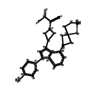 C=C(F)C(=O)N1CC(n2nc(-c3ccc(C(F)(F)F)nc3)c3nccc(N4CC5(CCNC5)C4)c32)C1